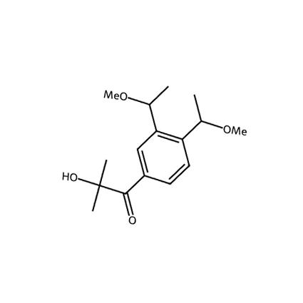 COC(C)c1ccc(C(=O)C(C)(C)O)cc1C(C)OC